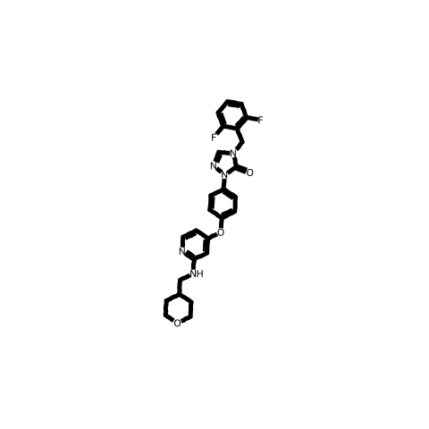 O=c1n(Cc2c(F)cccc2F)cnn1-c1ccc(Oc2ccnc(NCC3CCOCC3)c2)cc1